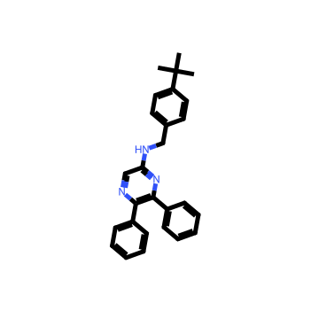 CC(C)(C)c1ccc(CNc2cnc(-c3ccccc3)c(-c3ccccc3)n2)cc1